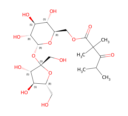 CC(C)C(=O)C(C)(C)C(=O)OC[C@H]1O[C@H](O[C@]2(CO)O[C@H](CO)[C@@H](O)[C@@H]2O)[C@H](O)[C@@H](O)[C@@H]1O